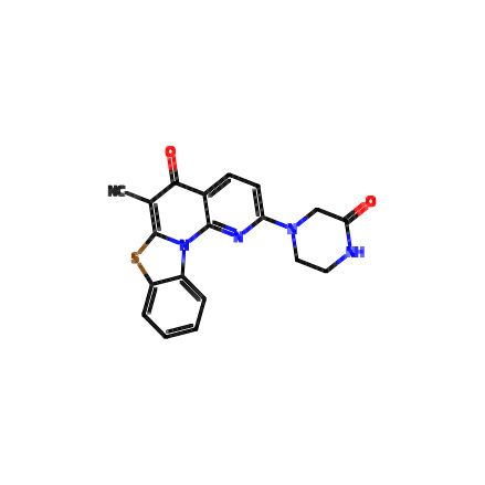 N#Cc1c(=O)c2ccc(N3CCNC(=O)C3)nc2n2c1sc1ccccc12